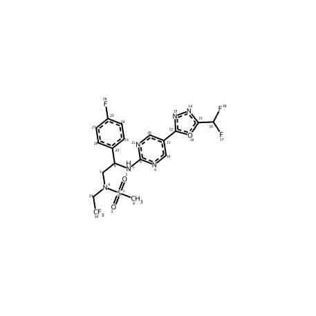 CS(=O)(=O)N(CC(Nc1ncc(-c2nnc(C(F)F)o2)cn1)c1ccc(F)cc1)CC(F)(F)F